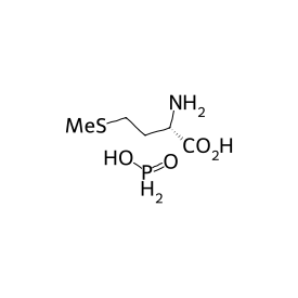 CSCC[C@H](N)C(=O)O.O=[PH2]O